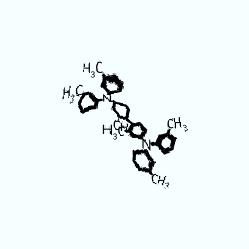 Cc1cccc(N(c2cccc(C)c2)c2ccc(C3CCC(N(C4=CC(C)CC=C4)c4cccc(C)c4)C[C@H]3C)c(C)c2)c1